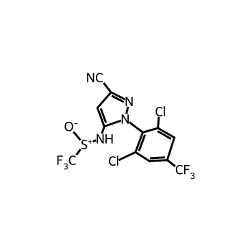 N#Cc1cc(N[S+]([O-])C(F)(F)F)n(-c2c(Cl)cc(C(F)(F)F)cc2Cl)n1